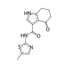 Cc1cnc(NC(=O)c2c[nH]c3c2C(=O)CCC3)s1